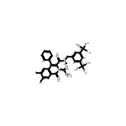 Cc1cc2c(-c3ccccc3)c(C(=O)N(C)Cc3cc(C(F)(F)F)cc(C(F)(F)F)c3)n(C(N)=O)c(=O)c2cc1C